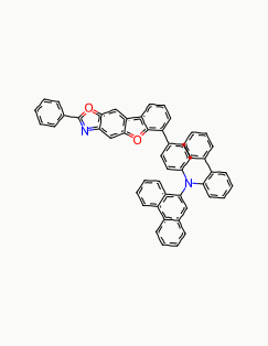 c1ccc(-c2nc3cc4oc5c(-c6ccc(N(c7ccccc7-c7ccccc7)c7cc8ccccc8c8ccccc78)cc6)cccc5c4cc3o2)cc1